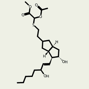 CCCCCC(O)C=C[C@H]1[C@@H]2CC(CCSC(OC(C)=O)C(=O)OC)C[C@H]2C[C@@H]1O